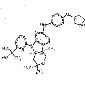 CC1(C)C[C@H]2N(c3cccc(C(C)(C)O)n3)c3nc(Nc4ccc(O[C@H]5CCNC5)cc4)ncc3[C@@]2(C)CO1